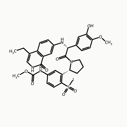 CCc1c[nH]c(=O)c2cc(N[C@@H](C(=O)N3CCC[C@@H]3c3cc(NC(=O)OC)ccc3S(=O)(=O)I)c3ccc(OC)c(O)c3)ccc12